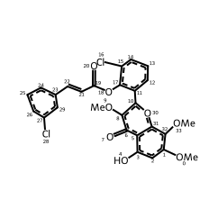 COc1cc(O)c2c(=O)c(OC)c(-c3cccc(Cl)c3OC(=O)/C=C/c3cccc(Cl)c3)oc2c1OC